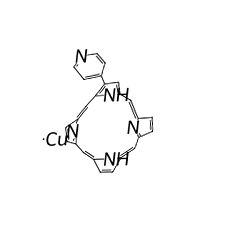 C1=Cc2cc3cc(-c4ccncc4)c(cc4nc(cc5ccc(cc1n2)[nH]5)C=C4)[nH]3.[Cu]